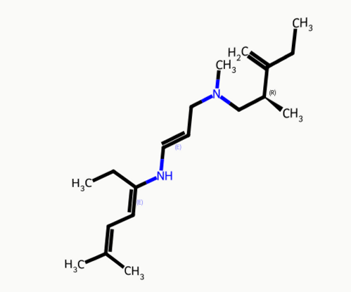 C=C(CC)[C@@H](C)CN(C)C/C=C/N/C(=C/C=C(C)C)CC